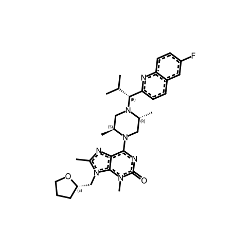 Cc1nc2c(N3C[C@@H](C)N([C@@H](c4ccc5cc(F)ccc5n4)C(C)C)C[C@@H]3C)nc(=O)n(C)c2n1C[C@@H]1CCCO1